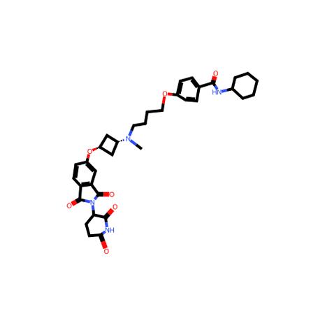 CN(CCCCOc1ccc(C(=O)NC2CCCCC2)cc1)[C@H]1C[C@H](Oc2ccc3c(c2)C(=O)N(C2CCC(=O)NC2=O)C3=O)C1